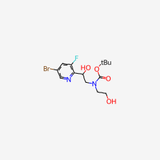 CC(C)(C)OC(=O)N(CCO)CC(O)c1ncc(Br)cc1F